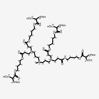 CCCCCCCCC(CCCCCC)C(=O)OCCCCOC(=O)CCN(CCCN(C)CCCN(CCC(=O)OCCCCOC(=O)C(CCCCCC)CCCCCCCC)CCC(=O)OCCCCOC(=O)C(CCCCCC)CCCCCCCC)CCC(=O)OCCCCOC(=O)C(CCCCCC)CCCCCCCC